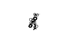 CC(C)OC(=O)[C@H](C)N[P@](=O)(Oc1ccccc1)Oc1ccc([N+](=O)[O-])cc1Cl